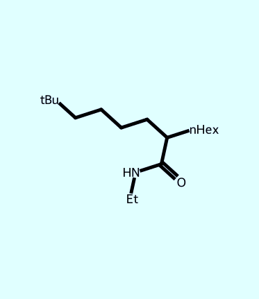 CCCCCCC(CCCCC(C)(C)C)C(=O)NCC